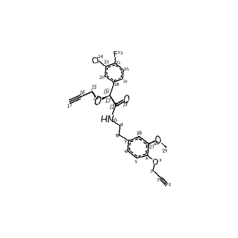 C#CCOc1ccc(CCNC(=O)[C@@H](OCC#C)c2ccc(F)c(Cl)c2)cc1OC